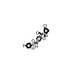 O=CC(N1CCN(NC(=O)Nc2ccc(F)cc2)CC1)n1c(=O)sc2ccc(Cl)cc21